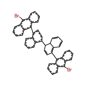 Brc1c2ccccc2c(C2=C3C=CC=CC3C(c3ccc(-c4c5ccccc5c(Br)c5ccccc45)c4ccccc34)C=C2)c2ccccc12